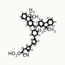 CC1(C)c2ccccc2-c2ccc(N(c3ccc(-c4ccc(-c5ccc(/C=C(\C#N)C(=O)O)s5)s4)cc3)c3ccc4c(c3)C(C)(C)c3ccccc3-4)cc21